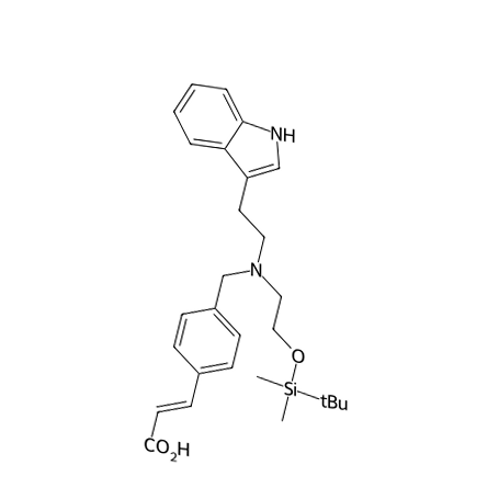 CC(C)(C)[Si](C)(C)OCCN(CCc1c[nH]c2ccccc12)Cc1ccc(C=CC(=O)O)cc1